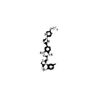 Cc1ccc(C(C)C)c(N2C(=O)CS/C2=N\C(=O)Nc2ccc(-c3ncn(-c4ccc(OC(F)(F)F)cn4)n3)cc2C#N)c1